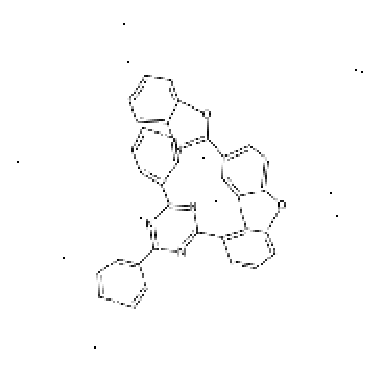 c1ccc(-c2nc(-c3ccccc3)nc(-c3cccc4oc5ccc(-c6nc7ccccc7o6)cc5c34)n2)cc1